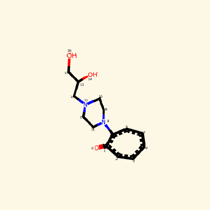 O=c1cccccc1N1CCN(CC(O)CO)CC1